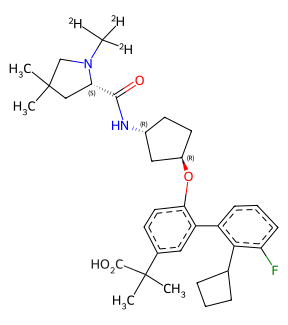 [2H]C([2H])([2H])N1CC(C)(C)C[C@H]1C(=O)N[C@@H]1CC[C@@H](Oc2ccc(C(C)(C)C(=O)O)cc2-c2cccc(F)c2C2CCC2)C1